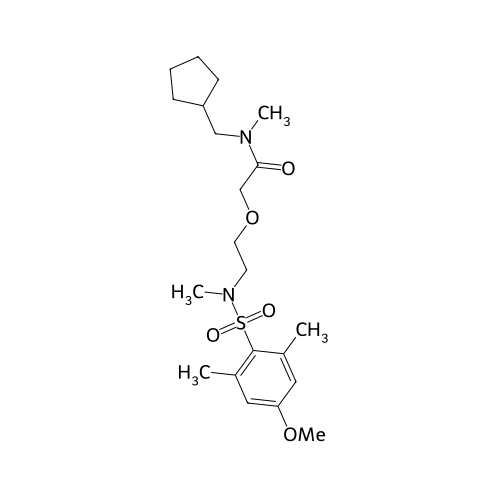 COc1cc(C)c(S(=O)(=O)N(C)CCOCC(=O)N(C)CC2CCCC2)c(C)c1